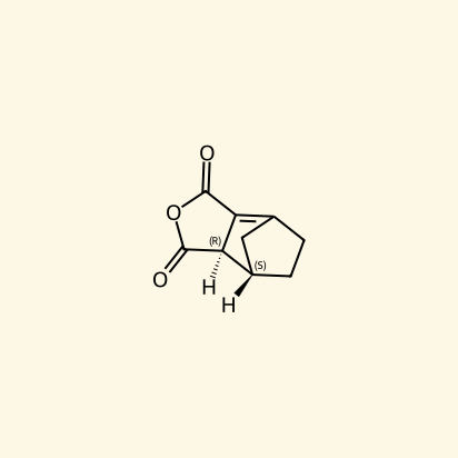 O=C1OC(=O)[C@H]2C1=C1CC[C@H]2C1